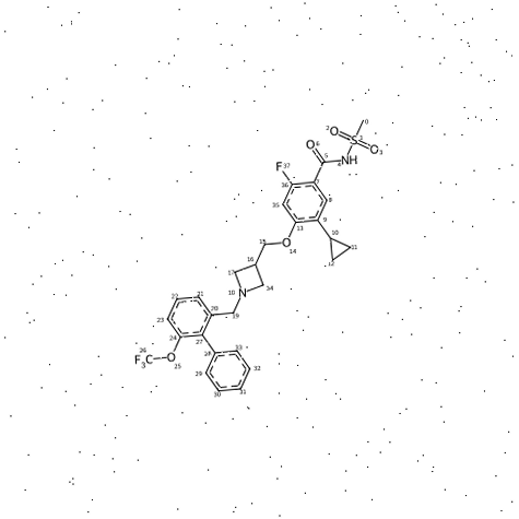 CS(=O)(=O)NC(=O)c1cc(C2CC2)c(OCC2CN(Cc3cccc(OC(F)(F)F)c3-c3ccccc3)C2)cc1F